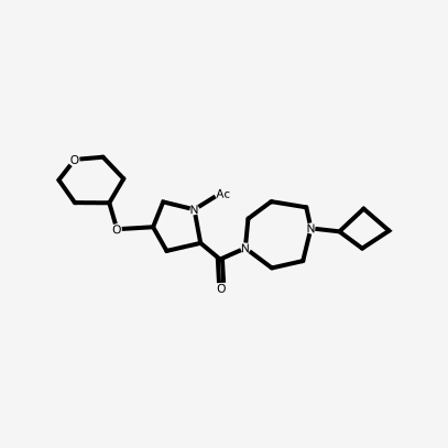 CC(=O)N1CC(OC2CCOCC2)CC1C(=O)N1CCCN(C2CCC2)CC1